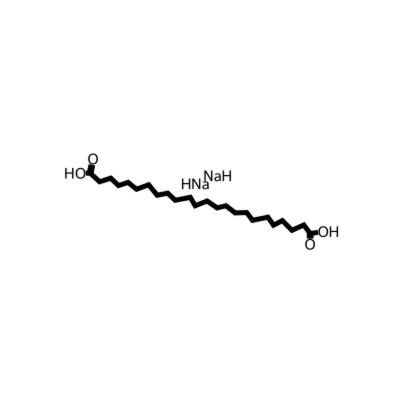 O=C(O)CCCCCCCCCCCCCCCCCCCCCCC(=O)O.[NaH].[NaH]